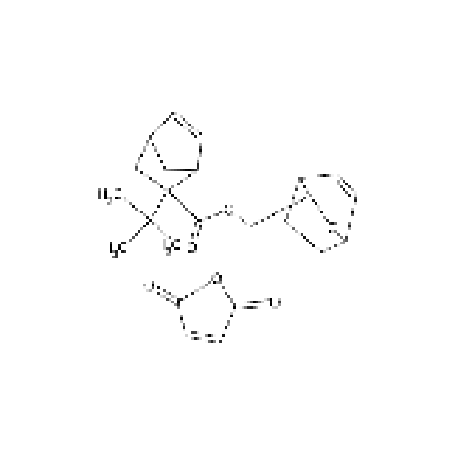 CC(C)(C)C1(C(=O)OCC2CC3C=CC2CC3)CC2C=CC1C2.O=C1C=CC(=O)O1